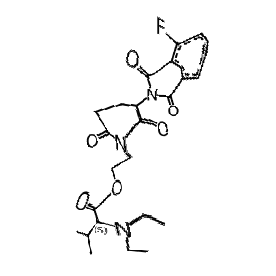 CCN(CC)[C@H](C(=O)OCCN1C(=O)CCC(N2C(=O)c3cccc(F)c3C2=O)C1=O)C(C)C